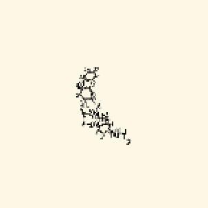 Nc1ccc2[nH]c(NCc3ccc(Oc4ccccc4)cc3)nc2c1